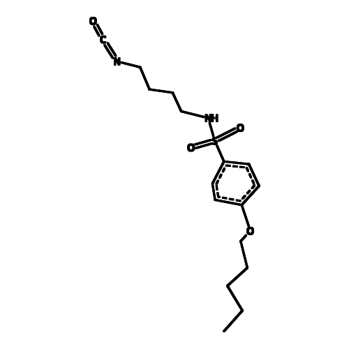 CCCCCOc1ccc(S(=O)(=O)NCCCCN=C=O)cc1